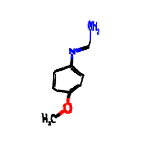 COc1ccc(/N=C/N)cc1